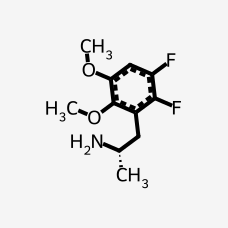 COc1cc(F)c(F)c(C[C@H](C)N)c1OC